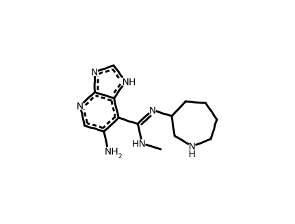 CNC(=NC1CCCCNC1)c1c(N)cnc2nc[nH]c12